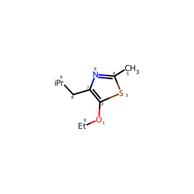 CCOc1sc(C)nc1CC(C)C